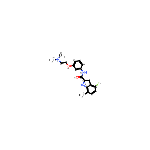 Cc1ccc(F)c2c1NC(C(=O)Nc1cccc(OCCN(C)C)c1)C2